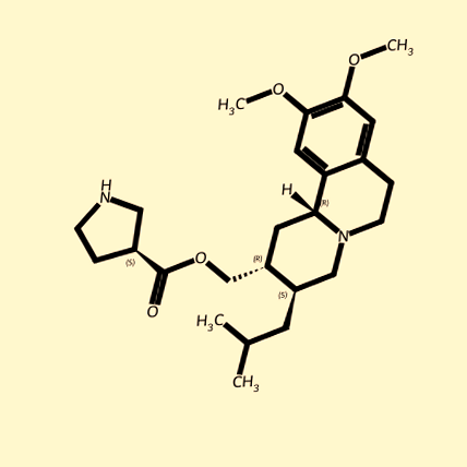 COc1cc2c(cc1OC)[C@H]1C[C@@H](COC(=O)[C@H]3CCNC3)[C@H](CC(C)C)CN1CC2